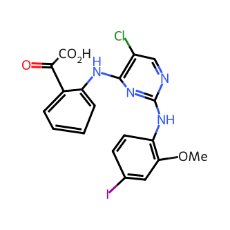 COc1cc(I)ccc1Nc1ncc(Cl)c(Nc2ccccc2C(=O)C(=O)O)n1